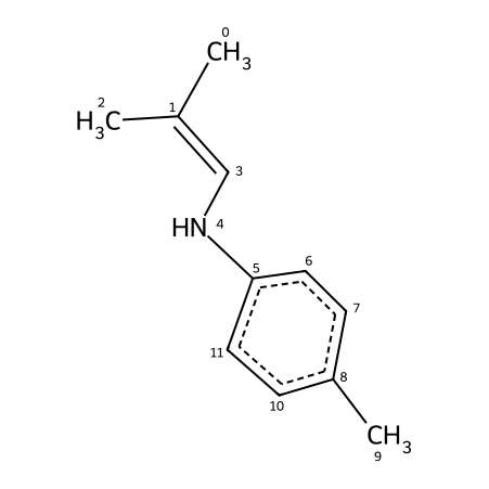 CC(C)=CNc1ccc(C)cc1